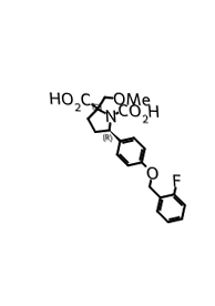 COC[C@@]1(C(=O)O)CC[C@H](c2ccc(OCc3ccccc3F)cc2)N1C(=O)O